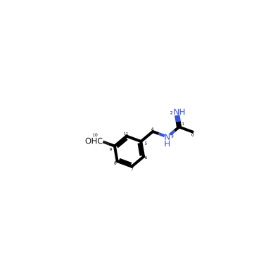 CC(=N)NCc1cccc(C=O)c1